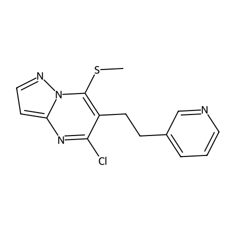 CSc1c(CCc2cccnc2)c(Cl)nc2ccnn12